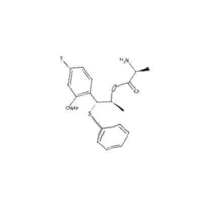 COc1cc(F)ccc1[C@@H](Sc1ccccc1)[C@H](C)OC(=O)[C@H](C)N